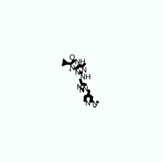 Cc1nc(NCc2cn(Cc3ccnc(N(C)C)c3)nn2)nc2c1NC(=O)C(C1CC1)N2C